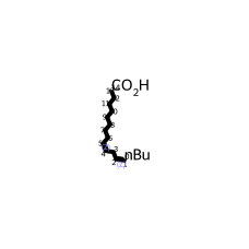 CCCC/C=C\C/C=C\CCCCCCCCC(=O)O